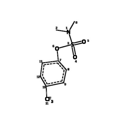 CN(C)S(=O)(=O)Oc1ccc(C(F)(F)F)cc1